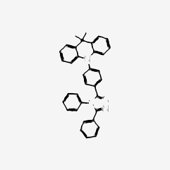 CC1(C)c2ccccc2N(c2ccc(-c3nnc(-c4ccccc4)n3-c3ccccc3)cc2)c2ccccc21